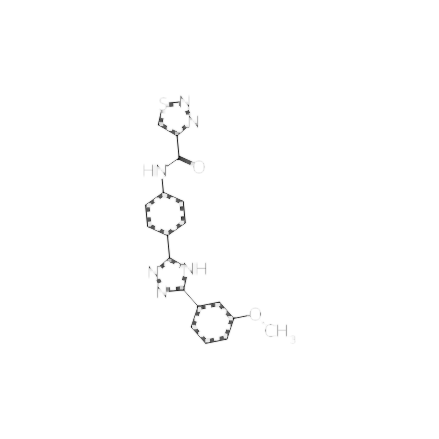 COc1cccc(-c2nnc(-c3ccc(NC(=O)c4csnn4)cc3)[nH]2)c1